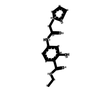 CCOC(=O)c1ccc(NC(=O)Cn2cccn2)cc1O